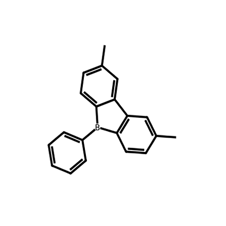 Cc1ccc2c(c1)-c1cc(C)ccc1B2c1ccccc1